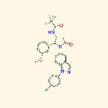 COc1cccc(C2C(NC(=O)C3(F)CC3)CC(=O)N2c2ccc3c(cnn3-c3ccc(F)cc3)c2)c1